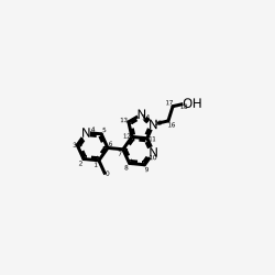 Cc1ccncc1-c1ccnc2c1cnn2CCO